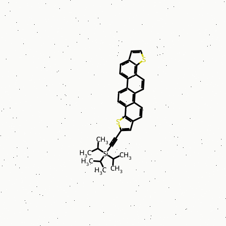 CC(C)[Si](C#Cc1cc2ccc3c4ccc5c(ccc6ccsc65)c4ccc3c2s1)(C(C)C)C(C)C